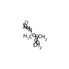 C=C1Cc2cc(CCN3CCN(c4nsc5c4C=CCC5)CC3)c(C)cc2N1COC(=O)CC